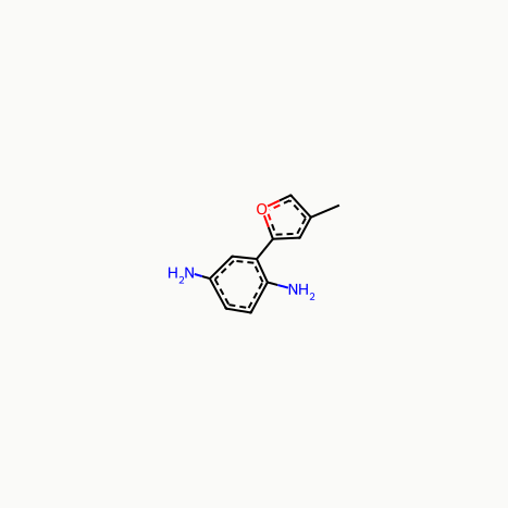 Cc1coc(-c2cc(N)ccc2N)c1